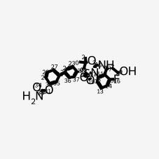 CC1(C)OC(N[C@@H](CCO)c2ccccc2F)=NS(=O)(=O)[C@@H]1c1ccc(-c2cccc(OC(N)=O)c2)cc1